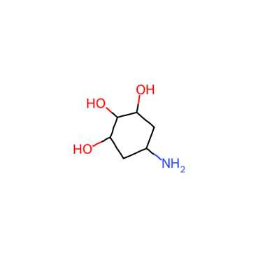 NC1CC(O)C(O)C(O)C1